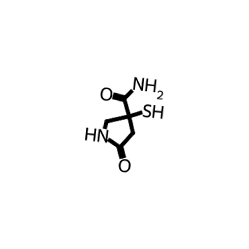 NC(=O)C1(S)CNC(=O)C1